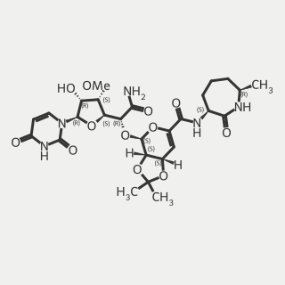 CO[C@H]1[C@@H](O)[C@H](n2ccc(=O)[nH]c2=O)O[C@@H]1[C@@H](O[C@H]1OC(C(=O)N[C@H]2CCC[C@@H](C)NC2=O)=C[C@@H]2OC(C)(C)O[C@H]12)C(N)=O